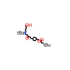 CC(C)(C)CCC(=O)OCC1CCC(CCC(=O)CCN(CCCCO)C(C)(C)C)CC1